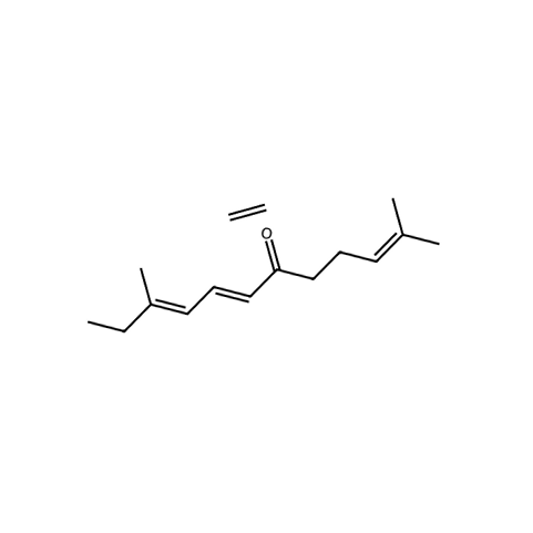 C=C.CC/C(C)=C/C=C/C(=O)CCC=C(C)C